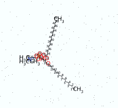 CCCCCCCCCCCCCCCCOCC(COP(=O)(O)OCC[N+](C)(C)C)OC(=O)CCCCCCCCCCCCCCCC